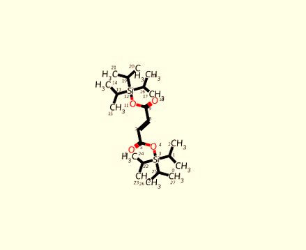 CC(C)[Si](OC(=O)/C=C/C(=O)O[Si](C(C)C)(C(C)C)C(C)C)(C(C)C)C(C)C